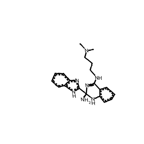 CN(C)CCCNC1=NC(N)(c2nc3ccccc3[nH]2)Nc2ccccc21